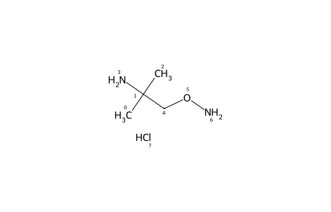 CC(C)(N)CON.Cl